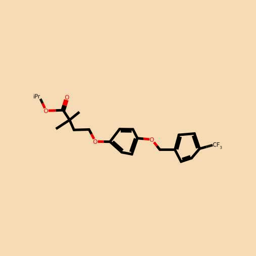 CC(C)OC(=O)C(C)(C)CCOc1ccc(OCc2ccc(C(F)(F)F)cc2)cc1